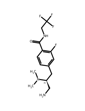 CN(C)[C@H](CN)Cc1ccc(C(=O)NCC(F)(F)F)c(F)c1